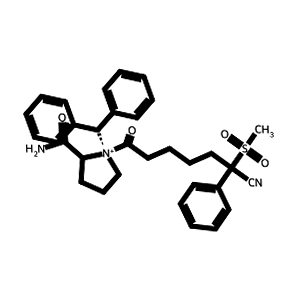 CS(=O)(=O)C(C#N)(CCCCC(=O)[N@@+]1(C(c2ccccc2)c2ccccc2)CCCC1C(N)=O)c1ccccc1